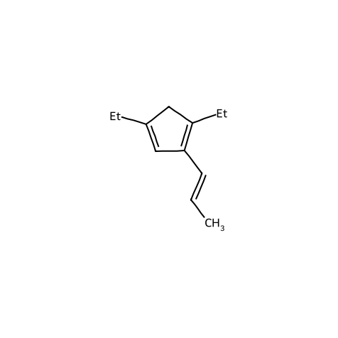 CC=CC1=C(CC)CC(CC)=C1